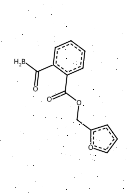 BC(=O)c1ccccc1C(=O)OCc1ccco1